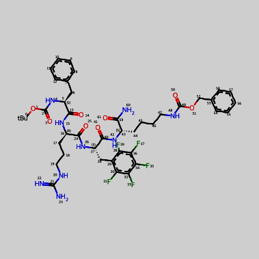 CC(C)(C)OC(=O)N[C@@H](Cc1ccccc1)C(=O)N[C@H](CCCNC(=N)N)C(=O)N[C@@H](Cc1c(F)c(F)c(F)c(F)c1F)C(=O)N[C@@H](CCCCNC(=O)OCc1ccccc1)C(N)=O